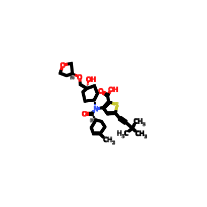 CC1=CC[C@H](C(=O)N(c2cc(C#CC(C)(C)C)sc2C(=O)O)[C@H]2CC[C@](O)(CO[C@H]3CCOC3)CC2)CC1